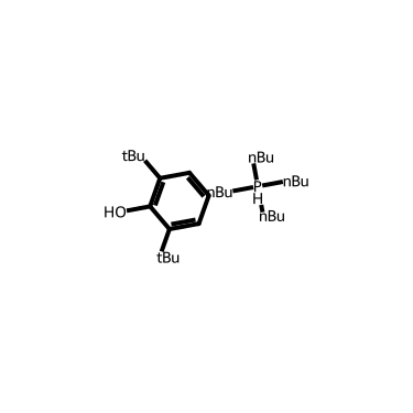 CC(C)(C)c1cccc(C(C)(C)C)c1O.CCCC[PH](CCCC)(CCCC)CCCC